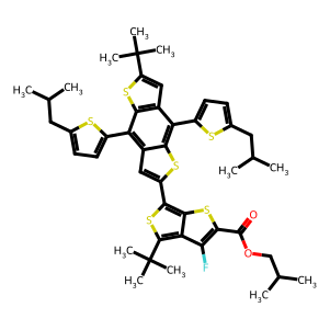 CC(C)COC(=O)c1sc2c(-c3cc4c(-c5ccc(CC(C)C)s5)c5sc(C(C)(C)C)cc5c(-c5ccc(CC(C)C)s5)c4s3)sc(C(C)(C)C)c2c1F